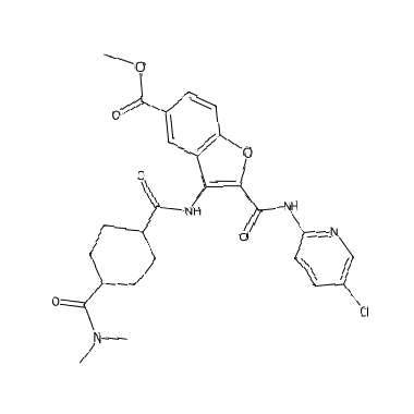 COC(=O)c1ccc2oc(C(=O)Nc3ccc(Cl)cn3)c(NC(=O)C3CCC(C(=O)N(C)C)CC3)c2c1